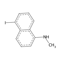 CNc1cccc2c(I)cccc12